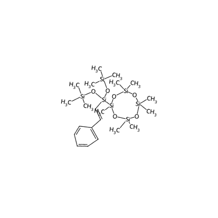 C[Si](C)(C)O[Si](C=Cc1ccccc1)(O[Si](C)(C)C)[Si]1(C)O[Si](C)(C)O[Si](C)(C)O[Si](C)(C)O1